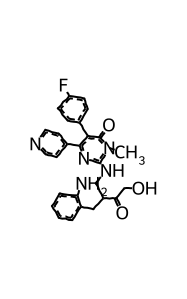 Cn1c(NCC(Cc2ccccc2N)C(=O)CO)nc(-c2ccncc2)c(-c2ccc(F)cc2)c1=O